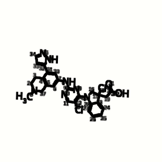 CN1CCc2c(cc(Nc3ncc(Cl)c(N4CC(C)(CC(=O)O)c5ccccc54)n3)cc2-c2ccn[nH]2)C1